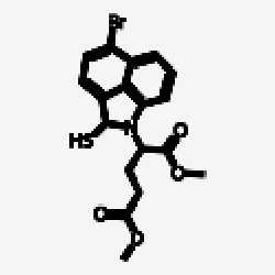 COC(=O)CCC(C(=O)OC)N1c2cccc3c(Br)ccc(c23)C1S